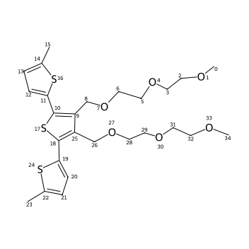 COCCOCCOCc1c(-c2ccc(C)s2)sc(-c2ccc(C)s2)c1COCCOCCOC